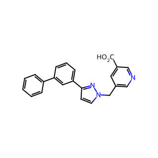 O=C(O)c1cncc(Cn2ccc(-c3cccc(-c4ccccc4)c3)n2)c1